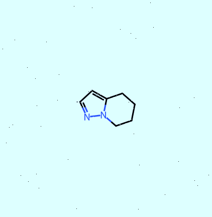 [c]1cc2n(n1)CCCC2